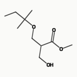 CCC(C)(C)OCC(CO)C(=O)OC